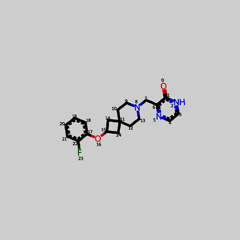 O=c1[nH]ccnc1CN1CCC2(CC1)CC(Oc1ccccc1F)C2